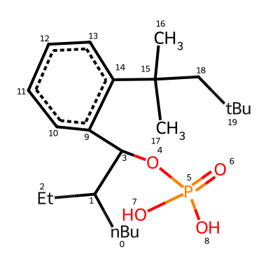 CCCCC(CC)C(OP(=O)(O)O)c1ccccc1C(C)(C)CC(C)(C)C